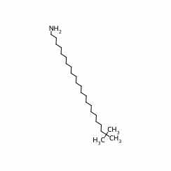 CC(C)(C)CCCCCCCCCCCCCCCCCCCCCN